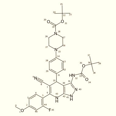 COc1ccc(C2=C(C#N)C(c3ccc(N4CCN(C(=O)OC(C)(C)C)CC4)cc3)c3c(NC(=O)OC(C)(C)C)n[nH]c3N2)c(F)c1